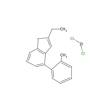 CCC1=Cc2c(cccc2-c2ccccc2C)[CH]1.[Cl][Zr][Cl]